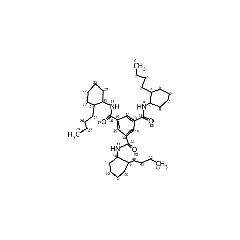 CCCCC1CCCCC1NC(=O)c1cc(C(=O)NC2CCCCC2CCCC)cc(C(=O)NC2CCCCC2CCCC)c1